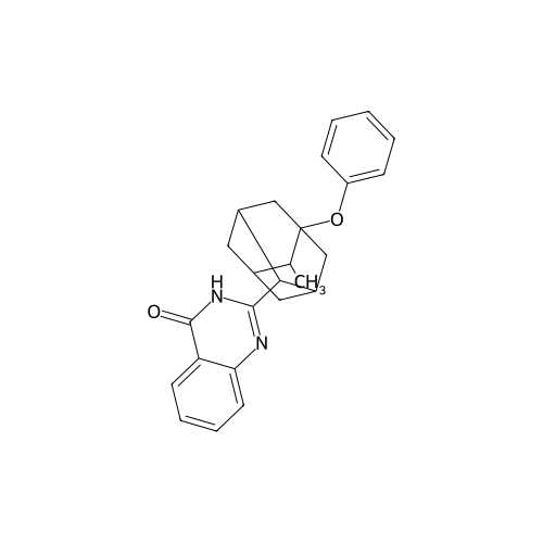 CC1C2CC3CC1(Oc1ccccc1)CC(C2)C3c1nc2ccccc2c(=O)[nH]1